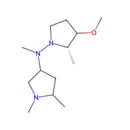 COC1CCN(N(C)C2CC(C)N(C)C2)[C@H]1C